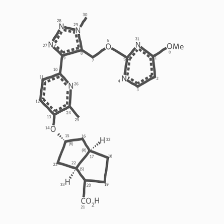 COc1ccnc(OCc2c(-c3ccc(O[C@@H]4C[C@H]5CCC(C(=O)O)[C@H]5C4)c(C)n3)nnn2C)n1